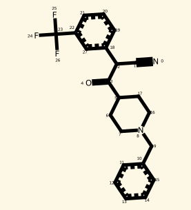 N#CC(C(=O)C1CCN(Cc2ccccc2)CC1)c1cccc(C(F)(F)F)c1